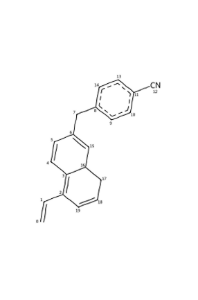 C=CC1=C2C=CC(Cc3ccc(C#N)cc3)=CC2CC=C1